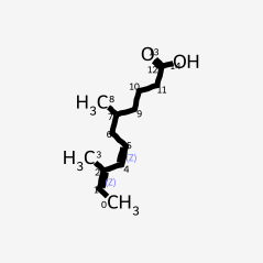 C/C=C(C)\C=C/CC(C)CCCC(=O)O